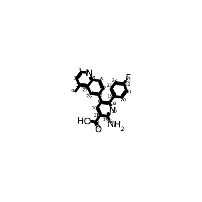 Cc1ccnc2ccc(-c3cc(C(=O)O)c(N)nc3-c3ccc(F)cc3)cc12